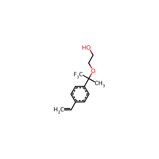 C=Cc1ccc(C(C)(OCCO)C(F)(F)F)cc1